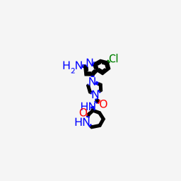 Nc1cc(N2CCN(C(=O)NC3CCCCNC3=O)CC2)c2ccc(Cl)cc2n1